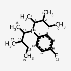 CCC(C)C(C)P(c1ccc(F)cc1)C(C)C(C)CC